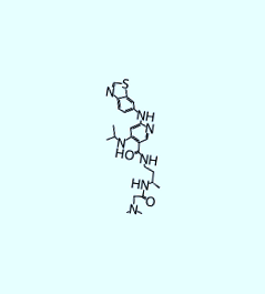 CC(C)Nc1cc(Nc2ccc3ncsc3c2)ncc1C(=O)NCC[C@@H](C)NC(=O)CN(C)C